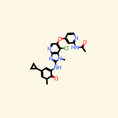 CC(=O)Nc1cc(Oc2cnc3nc(NC4=CC(C5CC5)=CC(C)C4=O)n(C)c3c2Cl)ccn1